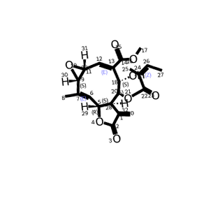 C=C1C(=O)O[C@@H]2/C=C(\C)[C@@H]3O[C@@H]3/C=C(/C(=O)OC)[C@H](O)[C@@H](OC(=O)/C(C)=C\C)[C@@H]12